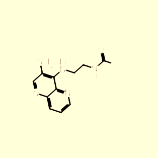 Nc1cnc2cccnc2c1NCCNC(=O)O